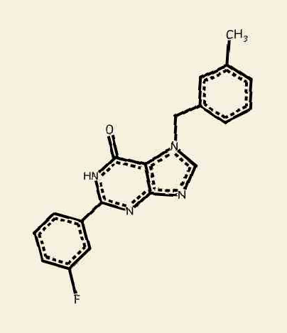 Cc1cccc(Cn2cnc3nc(-c4cccc(F)c4)[nH]c(=O)c32)c1